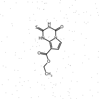 CCOC(=O)c1ccn2c(=O)[nH]c(=S)[nH]c12